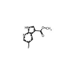 COC(=O)c1c[nH]c2ncc(F)cc12